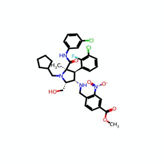 COC(=O)c1ccc(CN[C@@H]2[C@H](CO)N(CC3CCCC3)[C@@](C)(C(=O)Nc3cccc(Cl)c3)[C@H]2c2cccc(Cl)c2F)c([N+](=O)[O-])c1